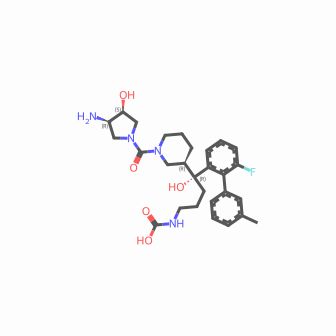 Cc1cccc(-c2c(F)cccc2[C@@](O)(CCCNC(=O)O)[C@@H]2CCCN(C(=O)N3C[C@@H](N)[C@@H](O)C3)C2)c1